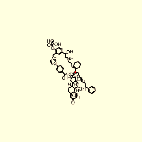 C[C@]12C=CC(=O)C=C1CC[C@@H]1[C@@H]2[C@@H](O)C[C@@]2(C)[C@H]1C[C@H]1O[C@@H](C3CCCCC3)O[C@]12C(=O)COC(=O)c1ccc(-n2cc[n+](Cc3cc(C(O)CNCCCCCCOCCCCc4ccccc4)ccc3OP(=O)(O)O)c2)cc1